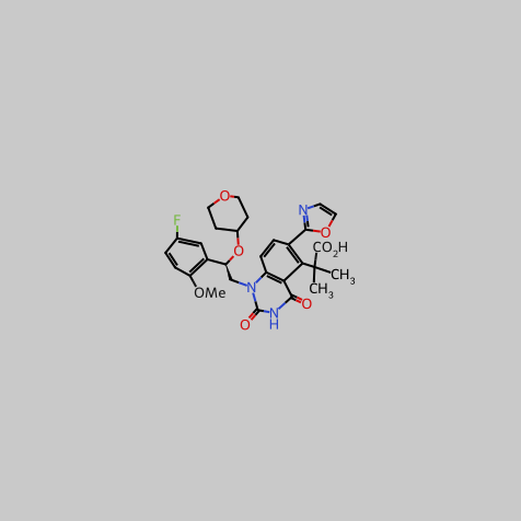 COc1ccc(F)cc1[C@H](Cn1c(=O)[nH]c(=O)c2c(C(C)(C)C(=O)O)c(-c3ncco3)ccc21)OC1CCOCC1